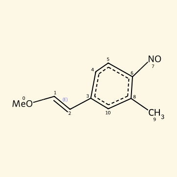 CO/C=C/c1ccc(N=O)c(C)c1